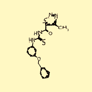 Cc1nnsc1C(=O)NC(=S)Nc1cccc(OCc2ccccc2)c1